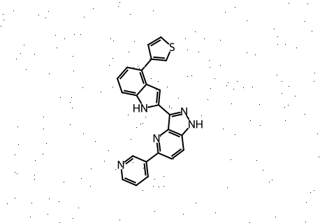 c1cncc(-c2ccc3[nH]nc(-c4cc5c(-c6ccsc6)cccc5[nH]4)c3n2)c1